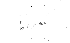 [Au+3].[I-].[I-].[I-].[I-].[K+]